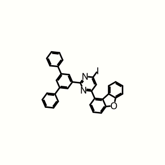 Ic1cc(-c2cccc3oc4ccccc4c23)nc(-c2cc(-c3ccccc3)cc(-c3ccccc3)c2)n1